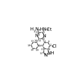 CCNc1nc(-c2cc(Cl)c3[nH]ncc3c2)c(-c2ccccc2)nc1N